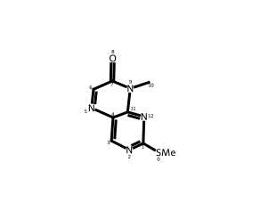 CSc1ncc2ncc(=O)n(C)c2n1